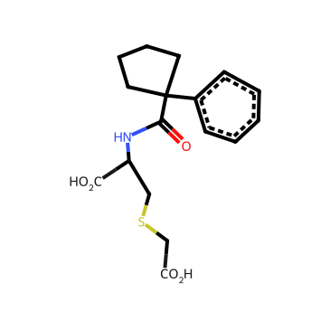 O=C(O)CSCC(NC(=O)C1(c2ccccc2)CCCC1)C(=O)O